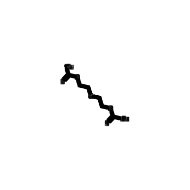 CC(C)(C)C(=S)OCCOCCOC(=S)C(C)(C)C